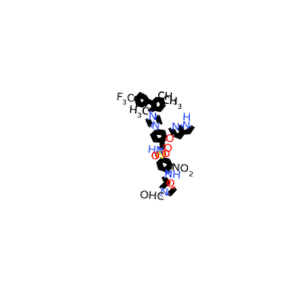 Cc1cc(C(F)(F)F)ccc1C1=C(CN2CCN(c3ccc(C(=O)NS(=O)(=O)c4ccc(NCC5CN(C=O)CCO5)c([N+](=O)[O-])c4)c(Oc4cnc5[nH]ccc5c4)c3)CC2)CCC(C)(C)C1